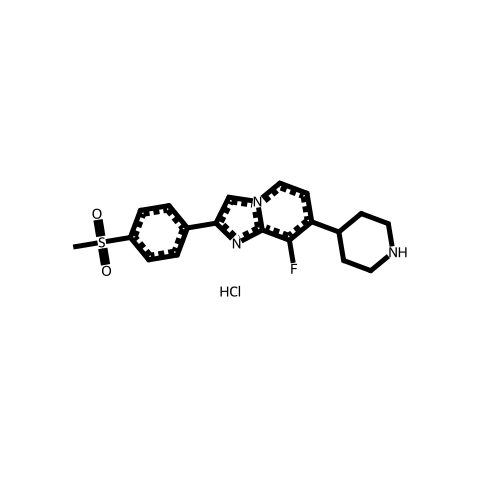 CS(=O)(=O)c1ccc(-c2cn3ccc(C4CCNCC4)c(F)c3n2)cc1.Cl